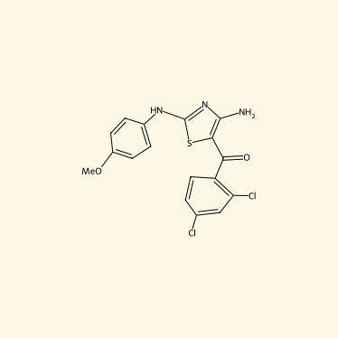 COc1ccc(Nc2nc(N)c(C(=O)c3ccc(Cl)cc3Cl)s2)cc1